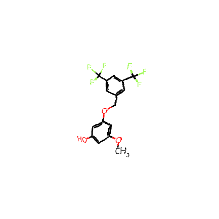 COc1cc(O)cc(OCc2cc(C(F)(F)F)cc(C(F)(F)F)c2)c1